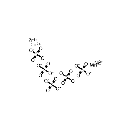 O=S(=O)([O-])[O-].O=S(=O)([O-])[O-].O=S(=O)([O-])[O-].O=S(=O)([O-])[O-].O=S(=O)([O-])[O-].[Co+2].[Mn+2].[Ni+2].[Zr+4]